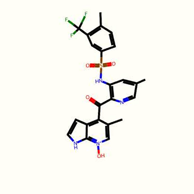 Cc1cnc(C(=O)c2c(C)c[n+](O)c3[nH]ccc23)c(NS(=O)(=O)c2ccc(C)c(C(F)(F)F)c2)c1